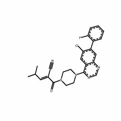 CC(C)C=C(C#N)C(=O)N1CCN(c2ncnc3cc(-c4ccccc4F)c(Cl)cc23)CC1